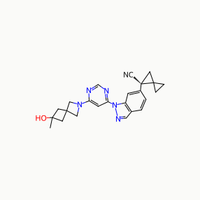 CC1(O)CC2(CN(c3cc(-n4ncc5ccc([C@]6(C#N)CC67CC7)cc54)ncn3)C2)C1